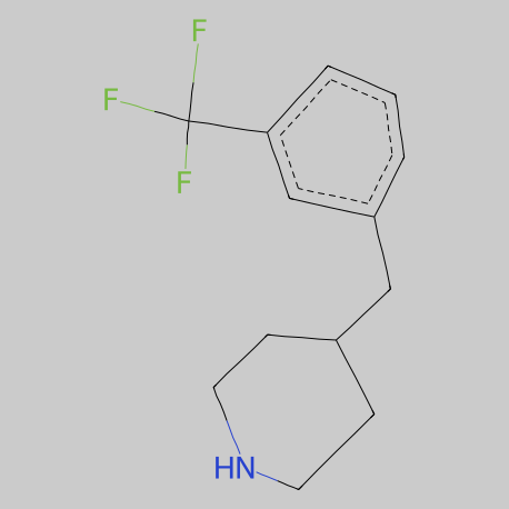 FC(F)(F)c1cccc(CC2CCNCC2)c1